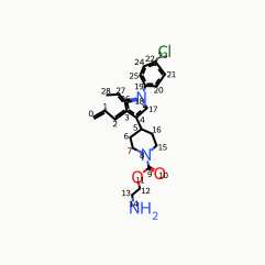 C=C/C=c1/c(C2CCN(C(=O)OCCN)CC2)cn(-c2ccc(Cl)cc2)/c1=C/C